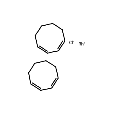 C1=C\CCCC\C=C/1.C1=C\CCCC\C=C/1.[Cl-].[Rh+]